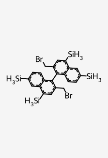 [SiH3]c1ccc2c(-c3c(CBr)cc([SiH3])c4cc([SiH3])ccc34)c(CBr)cc([SiH3])c2c1